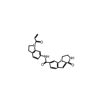 C=CC(=O)N1CCc2ccc(NC(=O)c3ccc4cc5n(c4c3)CCNC5=O)cc21